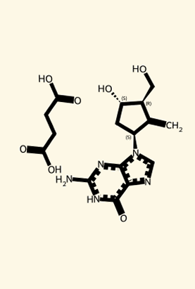 C=C1[C@H](CO)[C@@H](O)C[C@@H]1n1cnc2c(=O)[nH]c(N)nc21.O=C(O)CCC(=O)O